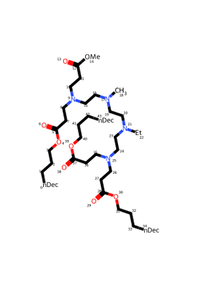 CCCCCCCCCCCCCOC(=O)CCN(CCC(=O)OC)CCN(C)CCN(CC)CCN(CCC(=O)OCCCCCCCCCCCCC)CCC(=O)OCCCCCCCCCCCCC